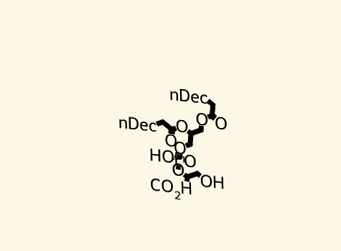 CCCCCCCCCCCC(=O)OCC(COP(=O)(O)OC(CO)C(=O)O)OC(=O)CCCCCCCCCCC